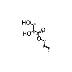 C=CCOC(=O)C(O)CO